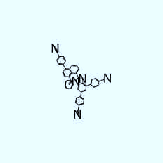 N#Cc1ccc(-c2cc(-c3ccc(C#N)cc3)c3nc4c5cccc6c(-c7ccc(C#N)cc7)ccc(c(=O)n4c3c2)c65)cc1